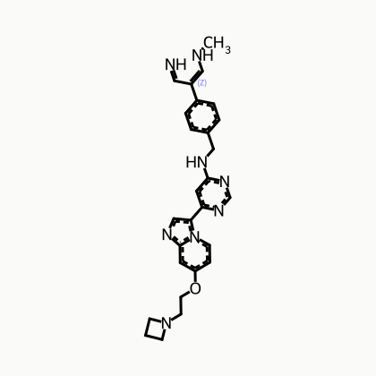 CN/C=C(\C=N)c1ccc(CNc2cc(-c3cnc4cc(OCCN5CCC5)ccn34)ncn2)cc1